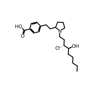 CCCCCC(O)[C@H](Cl)CCN1CCCC1CCc1ccc(C(=O)O)cc1